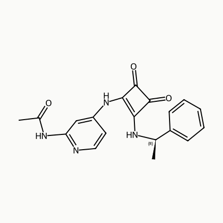 CC(=O)Nc1cc(Nc2c(N[C@H](C)c3ccccc3)c(=O)c2=O)ccn1